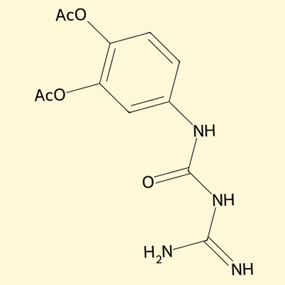 CC(=O)Oc1ccc(NC(=O)NC(=N)N)cc1OC(C)=O